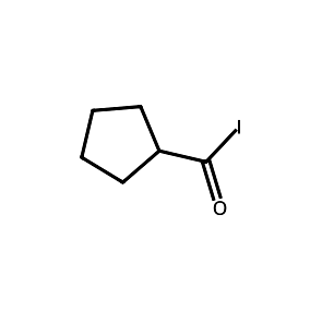 O=C(I)C1CCCC1